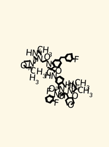 CN[C@@H](C)C(=O)NC(C(=O)N1Cc2ccc(NC(=O)C3(C)CN(C(=O)CN4C[C@@H](C)NC[C@@H]4CN4CCOC[C@H]4C)c4cc(Cc5ccc(F)cc5)ccc43)cc2[C@H]1C(=O)Nc1c(F)cccc1F)C1CCOCC1